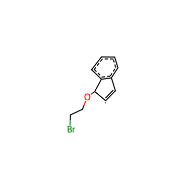 BrCCOC1[C]=Cc2ccccc21